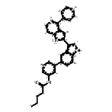 CCCCC(=O)Nc1cncc(-c2ccc3[nH]nc(-c4cc5c(-c6ccncc6)nccc5[nH]4)c3c2)c1